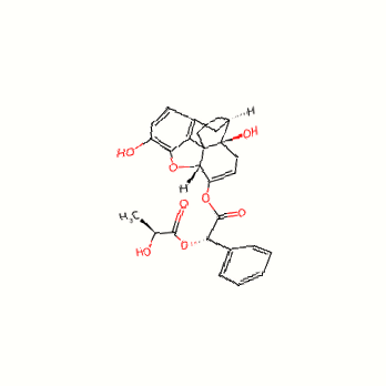 C[C@H](O)C(=O)O[C@H](C(=O)OC1=CC[C@@]2(O)[C@@H]3CCCC24c2c(ccc(O)c2O[C@@H]14)C3)c1ccccc1